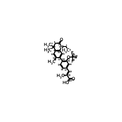 CCN1C(=O)CC(C)(C)c2cc(C)c(-c3ccc(/C=C(\C)C(=O)O)cc3OC(F)(F)F)cc21